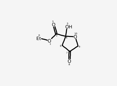 CCOC(=O)C1(O)CC(=O)CO1